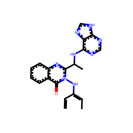 C=C/C(=C\C)Nn1c(C(C)Nc2ncnc3[nH]cnc23)nc2ccccc2c1=O